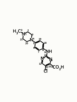 CN1CCN(c2ccc(Nc3ncc(Cl)c(C(=O)O)n3)cc2)CC1